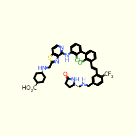 O=C1CC[C@@H](CNCc2ccc(C(F)(F)F)c(/C=C/c3cccc(-c4cccc(Nc5nccc6sc(CN[C@H]7CC[C@H](C(=O)O)CC7)nc56)c4Cl)c3Cl)c2)N1